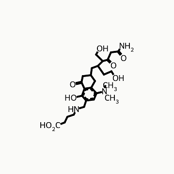 CN(C)c1cc(CNCCCC(=O)O)c(O)c2c1CC(CC(CCO)C(CO)C(=O)CC(N)=O)CC2=O